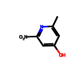 Cc1cc(O)cc([N+](=O)[O-])n1